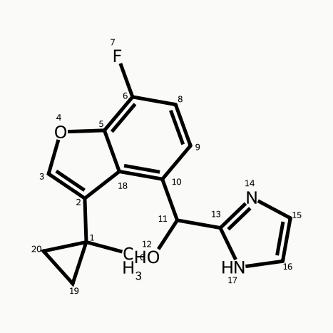 CC1(c2coc3c(F)ccc(C(O)c4ncc[nH]4)c23)CC1